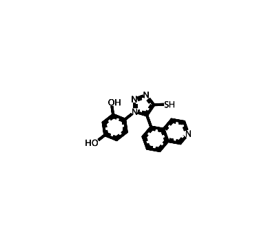 Oc1ccc(-n2nnc(S)c2-c2cccc3cnccc23)c(O)c1